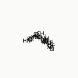 Cc1cc(Nc2nccn3c(-c4ccc(Cl)c(F)c4F)cnc23)ccc1C(=O)NCC1CCNCC1